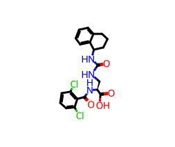 O=C(NC[C@H](NC(=O)c1c(Cl)cccc1Cl)C(=O)O)NC1CCCc2ccccc21